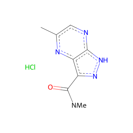 CNC(=O)c1n[nH]c2ncc(C)nc12.Cl